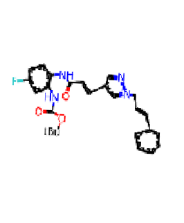 CC(C)(C)OC(=O)Nc1cc(F)ccc1NC(=O)/C=C/c1cnn(CC=Cc2ccccc2)c1